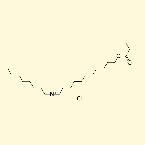 C=C(C)C(=O)OCCCCCCCCCCC[N+](C)(C)CCCCCCCC.[Cl-]